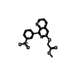 COC(=O)COc1cc2cccnc2c(-c2cccc([N+](=O)[O-])c2)n1